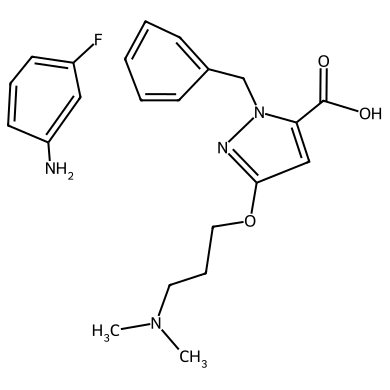 CN(C)CCCOc1cc(C(=O)O)n(Cc2ccccc2)n1.Nc1cccc(F)c1